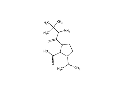 CC(C)C1CCN(C(=O)C(N)C(C)(C)C)C1C(=O)O